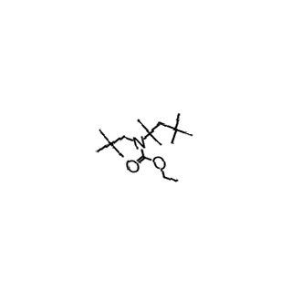 CCOC(=O)N(CC(C)(C)C)C(C)(C)CC(C)(C)C